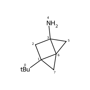 CC(C)(C)C12CC3(N)CC31C2